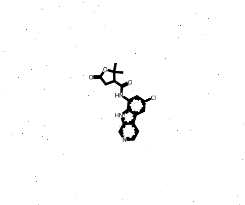 CC1(C)OC(=O)CC1C(=O)Nc1cc(Cl)cc2c1[nH]c1cnccc12